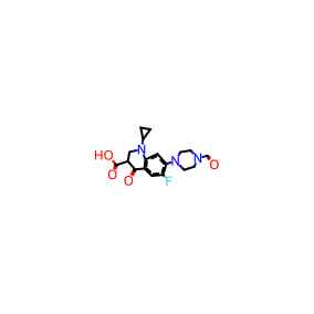 O=CN1CCN(c2cc3c(cc2F)C(=O)C(C(=O)O)CN3C2CC2)CC1